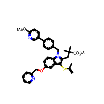 C=C(C)Sc1c(CC(C)(C)C(=O)OCC)n(Cc2ccc(-c3ccc(OC)nc3)cc2)c2ccc(OCc3ccccn3)cc12